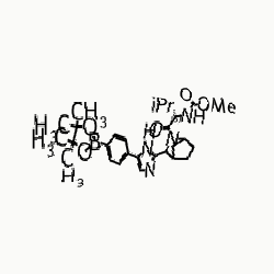 COC(=O)N[C@H](C(=O)N1C2CCC(C2)C1c1ncc(-c2ccc(B3OC(C)(C)C(C)(C)O3)cc2)[nH]1)C(C)C